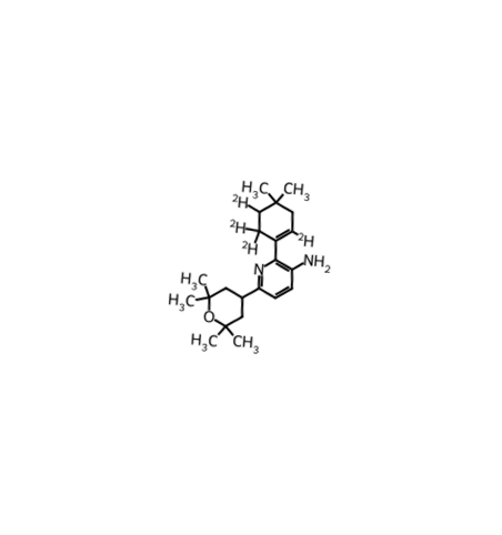 [2H]C1=C(c2nc(C3CC(C)(C)OC(C)(C)C3)ccc2N)C([2H])([2H])C([2H])C(C)(C)C1